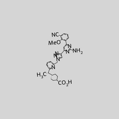 COc1c(C#N)cccc1-c1cc(-c2cn(Cc3cccc([C@@H](C)[C@H]4CC[C@H](C(=O)O)CC4)n3)nn2)nc(N)n1